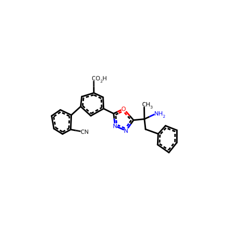 CC(N)(Cc1ccccc1)c1nnc(-c2cc(C(=O)O)cc(-c3ccccc3C#N)c2)o1